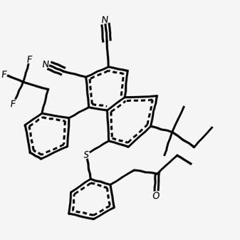 CCC(=O)Cc1ccccc1Sc1cc(C(C)(C)CC)cc2cc(C#N)c(C#N)c(-c3ccccc3CC(F)(F)F)c12